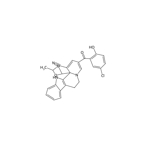 CC1OC(C23C(C#N)=CC(C(=O)c4cc(Cl)ccc4O)=CN2CCc2c3[nH]c3ccccc23)O1